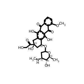 CN[C@H]1CC(O[C@H]2C[C@](O)(C(=O)CO)Cc3c(O)c4c(c(O)c32)C(=O)c2c(OC)cccc2C4=O)O[C@@H](C)[C@@H]1O